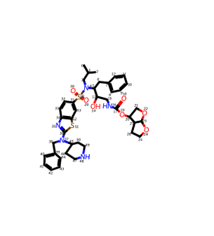 CC(C)CN(C(Cc1ccccc1)C(O)CNC(=O)OC1COC2OCCC12)S(=O)(=O)c1ccc2nc(N(Cc3ccccc3)C3CCNCC3)sc2c1